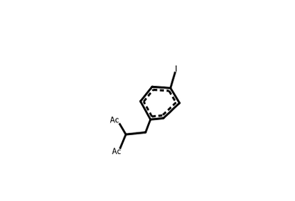 CC(=O)C(Cc1ccc(I)cc1)C(C)=O